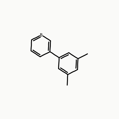 Cc1cc(C)cc(-c2cbccc2)c1